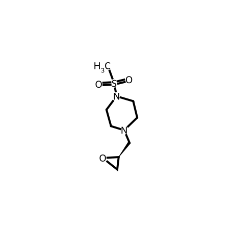 CS(=O)(=O)N1CCN(C[C@H]2CO2)CC1